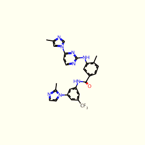 Cc1cn(-c2ccnc(Nc3cc(C(=O)Nc4cc(-n5ccnc5C)cc(C(F)(F)F)c4)ccc3C)n2)cn1